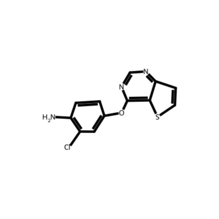 Nc1ccc(Oc2ncnc3ccsc23)cc1Cl